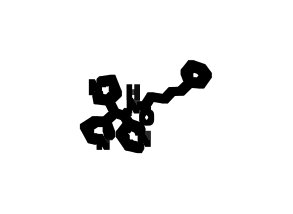 O=C(CCCCc1ccccc1)NC(c1cccnc1)C(c1cccnc1)c1cccnc1